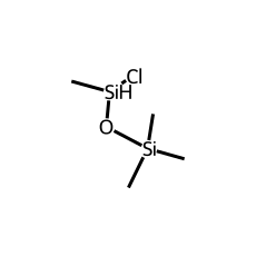 C[SiH](Cl)O[Si](C)(C)C